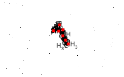 CC(C)S(=O)(=O)c1ccc(C(=O)N[C@@H]2CCC[C@H](Nc3cc(C(F)(F)F)nc4ccc(F)cc34)C2)cc1